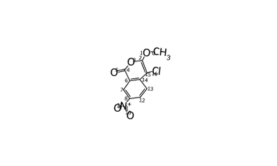 COc1oc(=O)c2cc([N+](=O)[O-])ccc2c1Cl